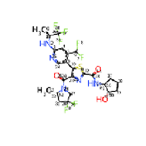 C[C@H](Nc1cc(C(F)F)c(-c2sc(C(=O)N[C@H]3CCC[C@@H]3O)nc2C(=O)N2CC(F)(F)C[C@@H]2C)cn1)C(F)(F)F